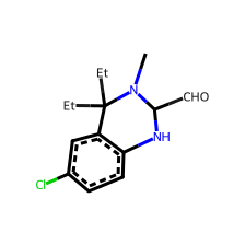 CCC1(CC)c2cc(Cl)ccc2NC(C=O)N1C